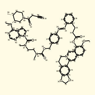 COc1ccc2cc3[n+](cc2c1OC(=O)CCc1ccccc1/N=N/c1ccc(COC(=O)N(C)CCN(C)C(=O)n2ccc4c(N(C)[C@H]5CN(C(=O)CC#N)CC[C@H]5C)ncnc42)cc1)CCc1cc2c(cc1-3)OCO2